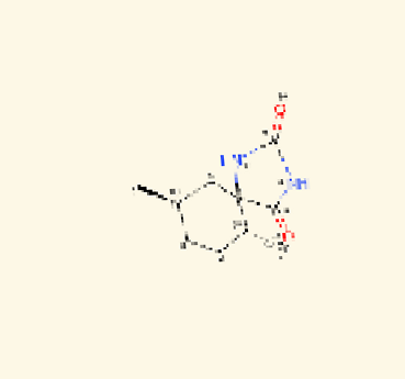 CC(C)[C@@H]1CC[C@@H](C)CC12NC(=O)NC2=O